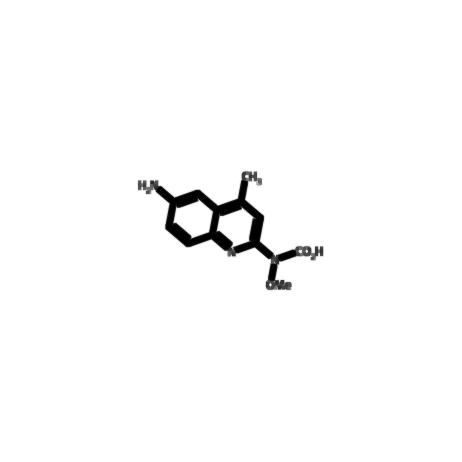 CON(C(=O)O)c1cc(C)c2cc(N)ccc2n1